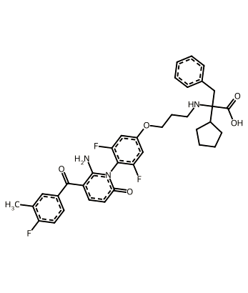 Cc1cc(C(=O)c2ccc(=O)n(-c3c(F)cc(OCCCNC(Cc4ccccc4)(C(=O)O)C4CCCC4)cc3F)c2N)ccc1F